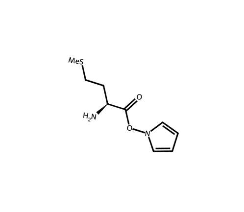 CSCC[C@H](N)C(=O)On1cccc1